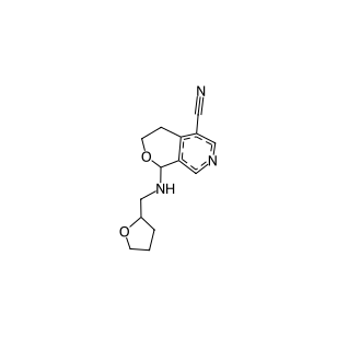 N#Cc1cncc2c1CCOC2NCC1CCCO1